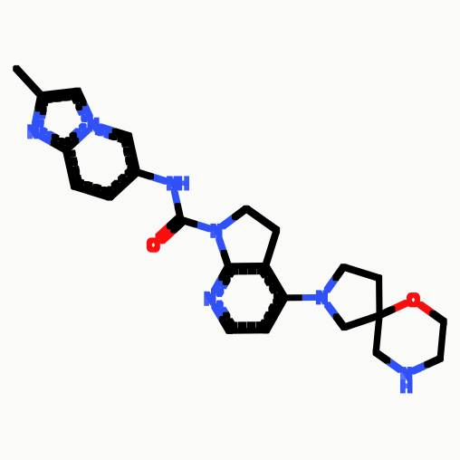 Cc1cn2cc(NC(=O)N3CCc4c(N5CCC6(CNCCO6)C5)ccnc43)ccc2n1